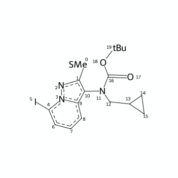 CSc1nn2c(I)cccc2c1N(CC1CC1)C(=O)OC(C)(C)C